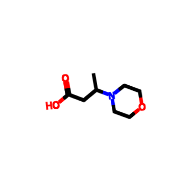 CC(CC(=O)O)N1CCOCC1